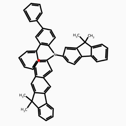 CC1(C)c2ccccc2-c2ccc(N(c3ccc4cc5c(cc4c3)-c3ccccc3C5(C)C)c3ccc(-c4ccccc4)cc3-c3ccccc3)cc21